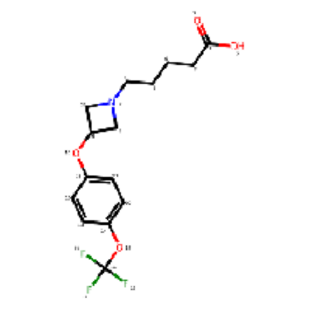 O=C(O)CCCCN1CC(Oc2ccc(OC(F)(F)F)cc2)C1